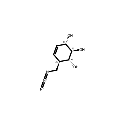 [N-]=[N+]=NC[C@H]1C=C[C@H](O)[C@@H](O)[C@@H]1O